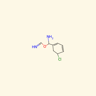 N=COC(N)C1=CC=CC(Cl)C1